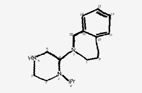 CC(C)N1CCNCC1N1CCc2ccccc2C1